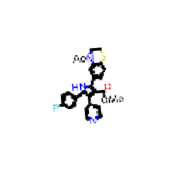 COC(=O)c1c(-c2ccc3c(c2)N(C(C)=O)CCS3)[nH]c(-c2ccc(F)cc2)c1-c1ccncc1